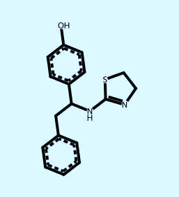 Oc1ccc(C(Cc2ccccc2)NC2=NCCS2)cc1